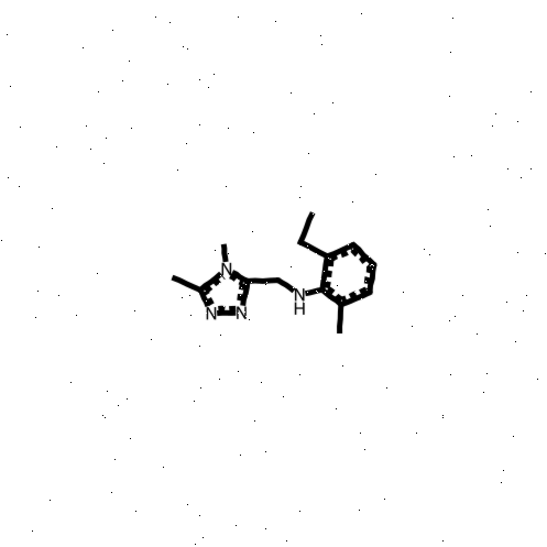 CCc1cccc(C)c1NCc1nnc(C)n1C